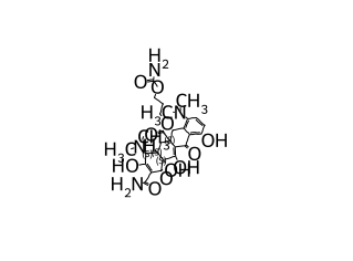 CN(C)c1ccc(O)c2c1C[C@@]1(C(=O)OCCCOC(N)=O)C[C@H]3[C@H](N(C)C)C(O)=C(C(N)=O)C(=O)[C@@]3(O)C(O)=C1C2=O